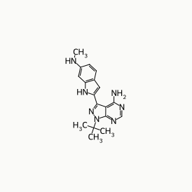 CNc1ccc2cc(-c3nn(C(C)(C)C)c4ncnc(N)c34)[nH]c2c1